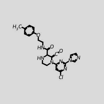 Cc1ccc(OCCNC(=O)C2NCCN(c3cc(Cl)nc(-n4ccnc4)n3)C2=C=O)cc1